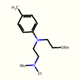 CCN(CCN(CCSC)c1ccc(C)cc1)C(C)(C)C